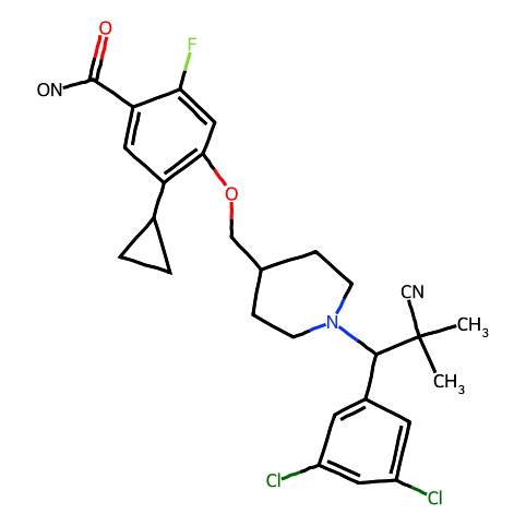 CC(C)(C#N)C(c1cc(Cl)cc(Cl)c1)N1CCC(COc2cc(F)c(C(=O)N=O)cc2C2CC2)CC1